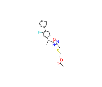 CC(=O)OCCSCc1noc(C(C)c2ccc(-c3ccccc3)c(F)c2)n1